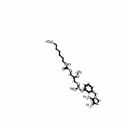 CCCCCCCCCCCCCCCCNC(=O)OCC(COP(O)Oc1cccc(CN2CSC(C)=C2C)c1)OC(C)C